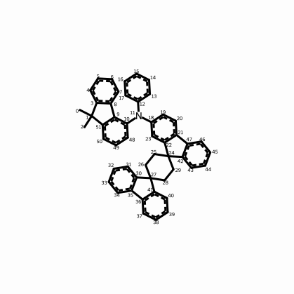 CC1(C)c2ccccc2-c2c(N(c3ccccc3)c3ccc4c(c3)C3(CCC5(CC3)c3ccccc3-c3ccccc35)c3ccccc3-4)cccc21